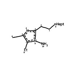 CCCCCCCCCc1nc(C)c(CC)n1N